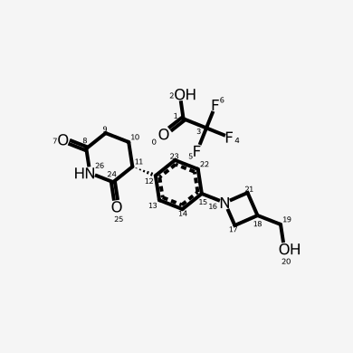 O=C(O)C(F)(F)F.O=C1CC[C@H](c2ccc(N3CC(CO)C3)cc2)C(=O)N1